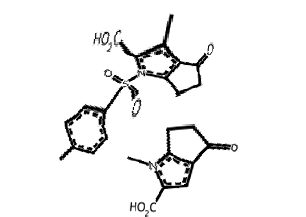 Cc1ccc(S(=O)(=O)n2c3c(c(C)c2C(=O)O)C(=O)CC3)cc1.Cn1c(C(=O)O)cc2c1CCC2=O